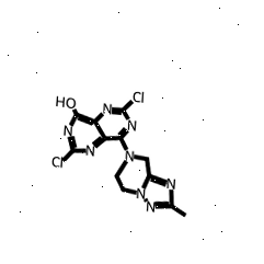 Cc1nc2n(n1)CCN(c1nc(Cl)nc3c(O)nc(Cl)nc13)C2